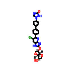 O=c1ncn(-c2ccc(-c3ccc(-c4nc5nc(O[C@@H]6CO[C@H]7[C@@H]6OC[C@H]7O)[nH]c5cc4Cl)cc3)cc2)[nH]1